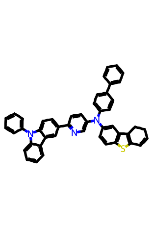 C1=Cc2sc3ccc(N(c4ccc(-c5ccccc5)cc4)c4ccc(-c5ccc6c(c5)c5ccccc5n6-c5ccccc5)nc4)cc3c2CC1